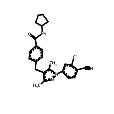 Cc1nn(-c2ccc(C#N)c(Cl)c2)c(C)c1Cc1ccc(C(=O)NC2CCCC2)cc1